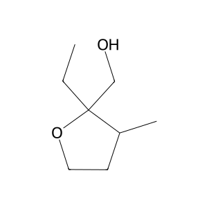 CCC1(CO)OCCC1C